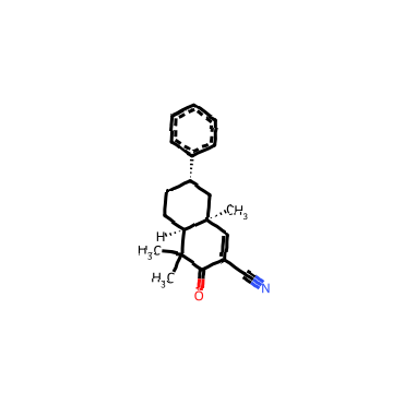 CC1(C)C(=O)C(C#N)=C[C@]2(C)C[C@@H](c3ccccc3)CC[C@H]12